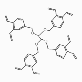 C=Cc1ccc(COC(OCc2ccc(C=C)c(C=C)c2)C(OCc2ccc(C=C)c(C=C)c2)OCc2ccc(C=C)c(C=C)c2)cc1C=C